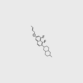 CC=CCOc1cc(F)c2c(F)c(C3CCC4CC(C)CCC4C3)ccc2c1